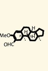 COC1=C(C=O)C[C@@]2(C)C(=C1)CC[C@H]1[C@@H]3CCC[C@@]3(C)CC[C@@H]12